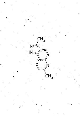 Cc1ccc2c(ccc3c(C)n[nH]c32)n1